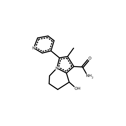 Cc1c(C(N)=O)c2n(c1-c1cccnc1)CCCC2O